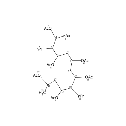 CCCCC(OC(C)=O)C(CCC)C(CC(CC(OC(C)=O)C(CCC)C(CC(C)OC(C)=O)OC(C)=O)OC(C)=O)OC(C)=O